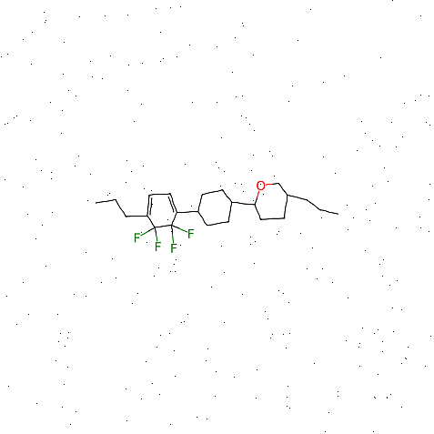 CCCC1=CC=C(C2CCC(C3CCC(CCC)CO3)CC2)C(F)(F)C1(F)F